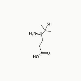 CC(C)(S)[C@H](N)CCC(=O)O